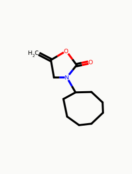 C=C1CN(C2CCCCCCC2)C(=O)O1